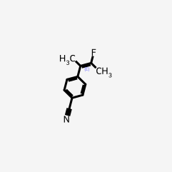 C/C(F)=C(/C)c1ccc(C#N)cc1